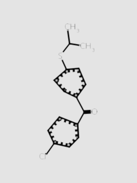 CC(C)Sc1ccc(C(=O)c2ccc(Cl)cc2)cc1